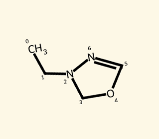 CCN1CO[C]=N1